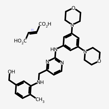 Cc1ccc(CO)cc1NCc1ccnc(Nc2cc(N3CCOCC3)cc(N3CCOCC3)c2)n1.O=C(O)/C=C/C(=O)O